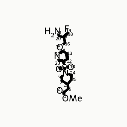 COC(=O)CC1CCN(S(=O)(=O)c2ccc(OCC(=CF)CN)nc2)CC1